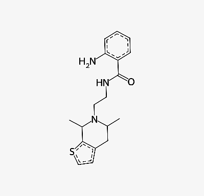 CC1Cc2ccsc2C(C)N1CCNC(=O)c1ccccc1N